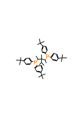 CC(C)C(C)(C(C)P(c1ccc(C(C)(C)C)cc1)c1ccc(C(C)(C)C)cc1)C(C)P(c1ccc(C(C)(C)C)cc1)c1ccc(C(C)(C)C)cc1